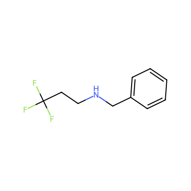 FC(F)(F)CCNCc1ccccc1